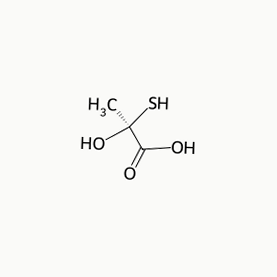 C[C@](O)(S)C(=O)O